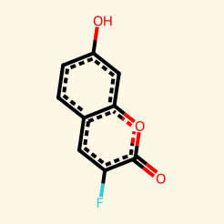 O=c1oc2cc(O)ccc2cc1F